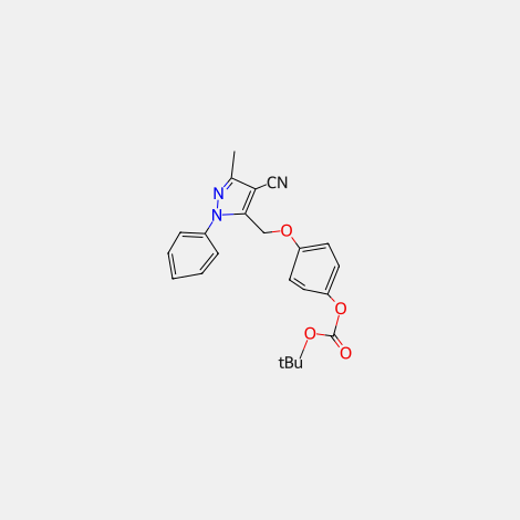 Cc1nn(-c2ccccc2)c(COc2ccc(OC(=O)OC(C)(C)C)cc2)c1C#N